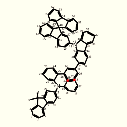 CC1(C)c2ccccc2-c2ccc(N(c3ccccc3)c3ccccc3-c3cccc(-c4ccc5c6ccccc6n(-c6ccc7c(c6)C6(c8ccccc8-c8ccccc86)c6ccccc6-7)c5c4)c3)cc21